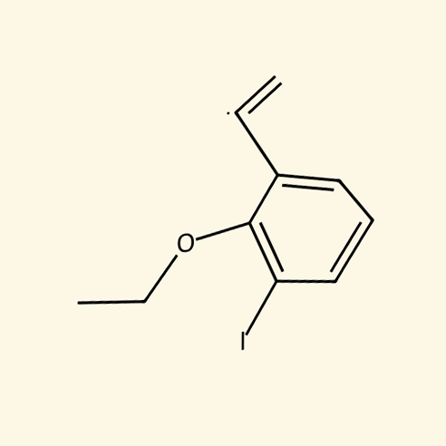 C=[C]c1cccc(I)c1OCC